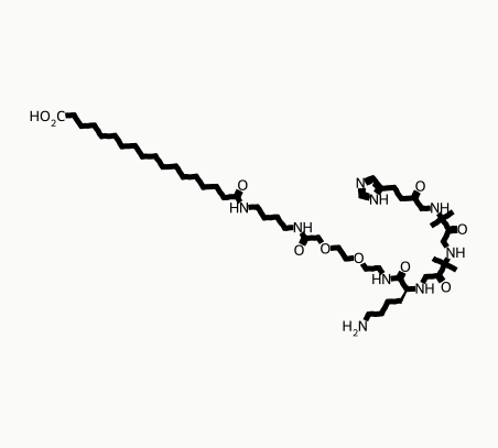 CC(C)(NCC(=O)C(C)(C)NCC(=O)CCc1cnc[nH]1)C(=O)CN[C@@H](CCCCN)C(=O)NCCOCCOCC(=O)NCCCCNC(=O)CCCCCCCCCCCCCCCCC(=O)O